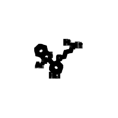 CCN(CC)CCCOc1ccccc1C1Sc2ccccc2N1C(C)=O.Cl